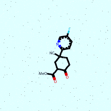 COC(=O)C1CC(C#N)(c2ccc(F)cn2)CCC1=O